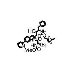 COC(=O)NC(C(=O)NN(Cc1ccc(-c2ccccn2)cc1)CC(O)C(Cc1ccccc1)NC(=O)OCc1csc(C)n1)C(C)(C)C